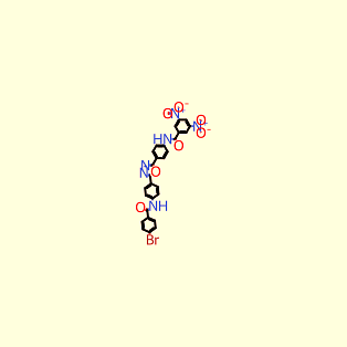 O=C(Nc1ccc(-c2nnc(-c3ccc(NC(=O)c4cc([N+](=O)[O-])cc([N+](=O)[O-])c4)cc3)o2)cc1)c1ccc(Br)cc1